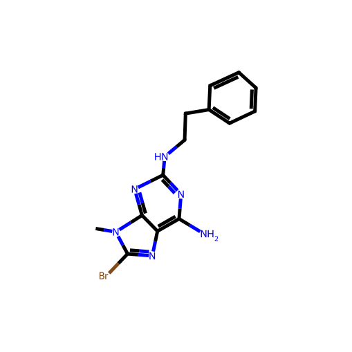 Cn1c(Br)nc2c(N)nc(NCCc3ccccc3)nc21